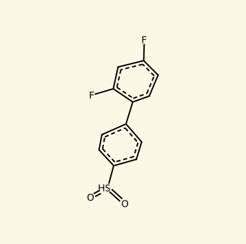 O=[SH](=O)c1ccc(-c2ccc(F)cc2F)cc1